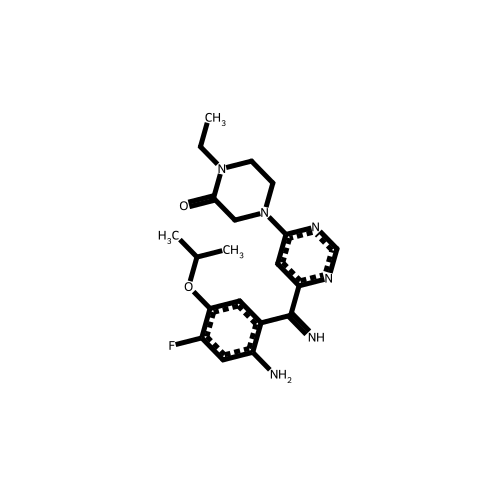 CCN1CCN(c2cc(C(=N)c3cc(OC(C)C)c(F)cc3N)ncn2)CC1=O